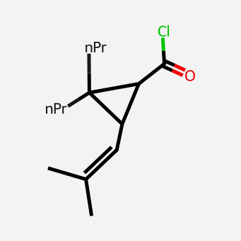 CCCC1(CCC)C(C=C(C)C)C1C(=O)Cl